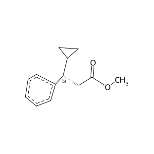 COC(=O)C[C@H](c1ccccc1)C1CC1